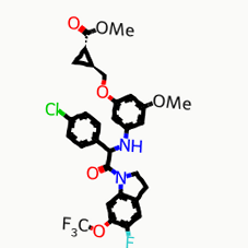 COC(=O)[C@H]1C[C@@H]1COc1cc(NC(C(=O)N2CCc3cc(F)c(OC(F)(F)F)cc32)c2ccc(Cl)cc2)cc(OC)c1